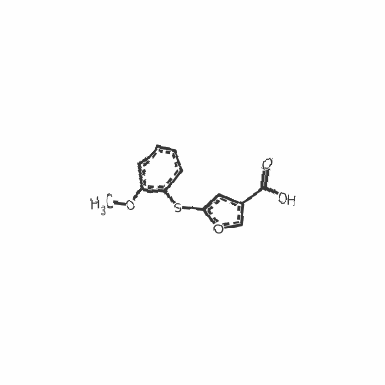 COc1ccccc1Sc1cc(C(=O)O)co1